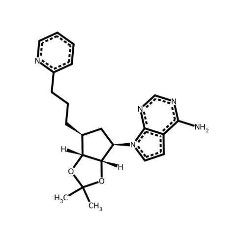 CC1(C)O[C@@H]2[C@@H](CCCc3ccccn3)C[C@@H](n3ccc4c(N)ncnc43)[C@@H]2O1